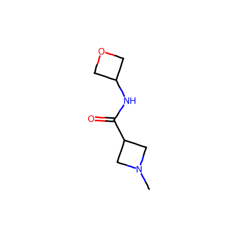 CN1CC(C(=O)NC2COC2)C1